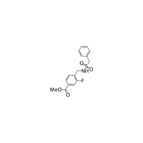 COC(=O)c1ccc(CNS(=O)(=O)Cc2ccccc2)c(F)c1